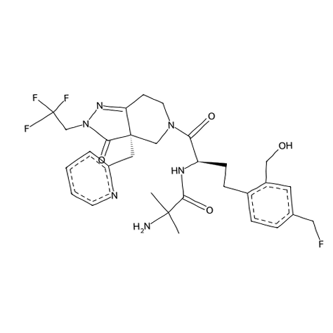 CC(C)(N)C(=O)N[C@H](CCc1ccc(CF)cc1CO)C(=O)N1CCC2=NN(CC(F)(F)F)C(=O)[C@]2(Cc2ccccn2)C1